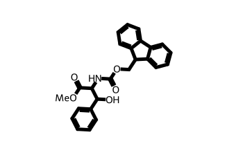 COC(=O)C(NC(=O)OCC1c2ccccc2-c2ccccc21)C(O)c1ccccc1